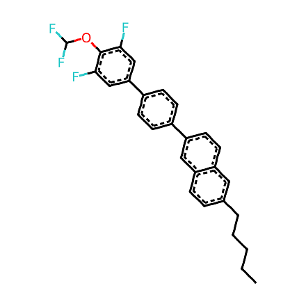 CCCCCc1ccc2cc(-c3ccc(-c4cc(F)c(OC(F)F)c(F)c4)cc3)ccc2c1